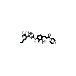 CC/C=C/C(=C(\N=C(/C)Nc1ccc(CCC(=O)N2CCOCC2)c(NC)c1C)NC)C(F)(F)F